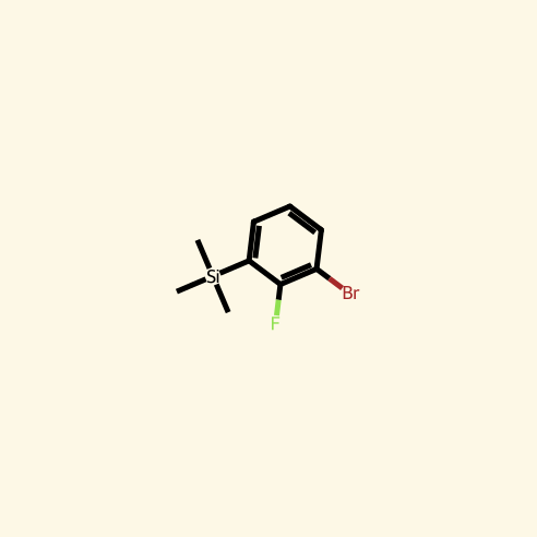 C[Si](C)(C)c1cccc(Br)c1F